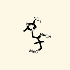 COCC(C)(C)C(Cn1cc([N+](=O)[O-])nc1C)=NO